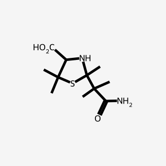 CC1(C)SC(C)(C(C)(C)C(N)=O)NC1C(=O)O